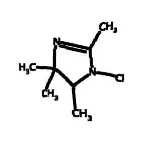 CC1=NC(C)(C)C(C)N1Cl